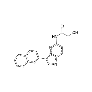 CCC(CO)Nc1ccc2ncc(-c3ccc4ccccc4c3)n2n1